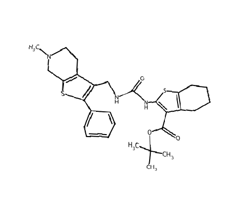 CN1CCc2c(sc(-c3ccccc3)c2CNC(=O)Nc2sc3c(c2C(=O)OC(C)(C)C)CCCC3)C1